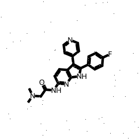 CN(C)CC(=O)Nc1ccc2c(-c3ccncc3)c(-c3ccc(F)cc3)[nH]c2n1